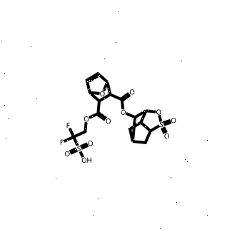 O=C(OCC(F)(F)S(=O)(=O)O)C1C2C=CC(O2)C1C(=O)OC1C2CC3C1OS(=O)(=O)C3C2